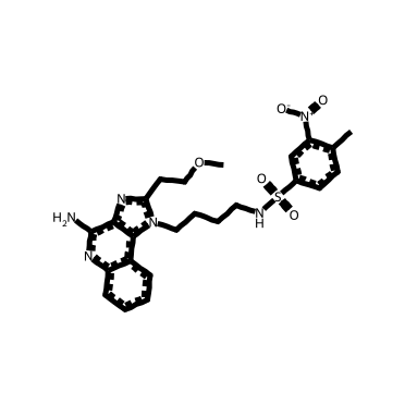 COCCc1nc2c(N)nc3ccccc3c2n1CCCCNS(=O)(=O)c1ccc(C)c([N+](=O)[O-])c1